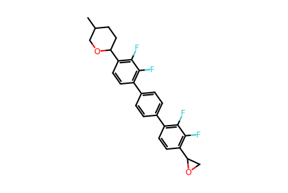 CC1CCC(c2ccc(-c3ccc(-c4ccc(C5CO5)c(F)c4F)cc3)c(F)c2F)OC1